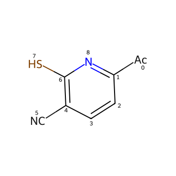 CC(=O)c1ccc(C#N)c(S)n1